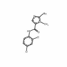 CCC(C)c1ncc(C(=O)Nc2ccc(Cl)cc2Cl)n1C